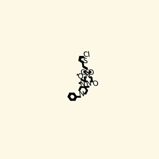 COCC12CN(S(=O)(=O)C=Cc3ccc(Cl)s3)CC(=O)N1CC1(CCN(Cc3ccccc3)CC1)N2C